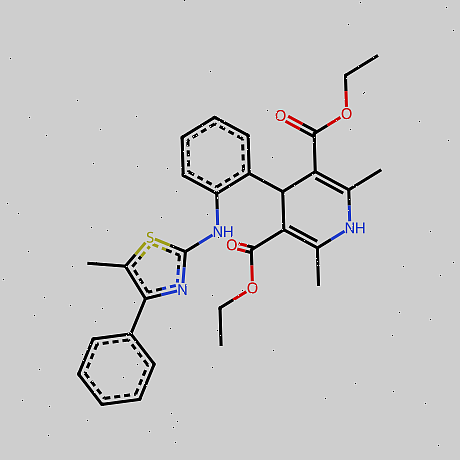 CCOC(=O)C1=C(C)NC(C)=C(C(=O)OCC)C1c1ccccc1Nc1nc(-c2ccccc2)c(C)s1